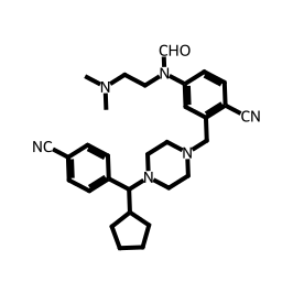 CN(C)CCN(C=O)c1ccc(C#N)c(CN2CCN(C(c3ccc(C#N)cc3)C3CCCC3)CC2)c1